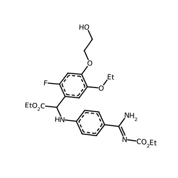 CCOC(=O)/N=C(\N)c1ccc(NC(C(=O)OCC)c2cc(OCC)c(OCCO)cc2F)cc1